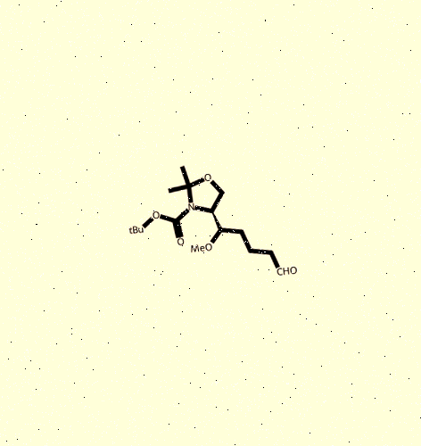 COC(CCCC=O)[C@@H]1COC(C)(C)N1C(=O)OC(C)(C)C